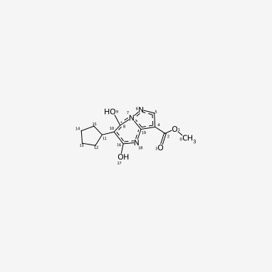 COC(=O)c1cnn2c(O)c(C3CCCC3)c(O)nc12